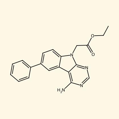 CCOC(=O)Cn1c2ccc(-c3ccccc3)cc2c2c(N)ncnc21